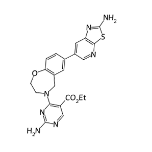 CCOC(=O)c1cnc(N)nc1N1CCOc2ccc(-c3cnc4sc(N)nc4c3)cc2C1